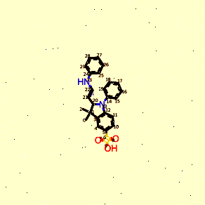 CC1(C)c2cc(S(=O)(=O)O)ccc2N(c2ccccc2)C1/C=C/Nc1ccccc1